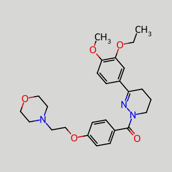 CCOc1cc(C2=NN(C(=O)c3ccc(OCCN4CCOCC4)cc3)CCC2)ccc1OC